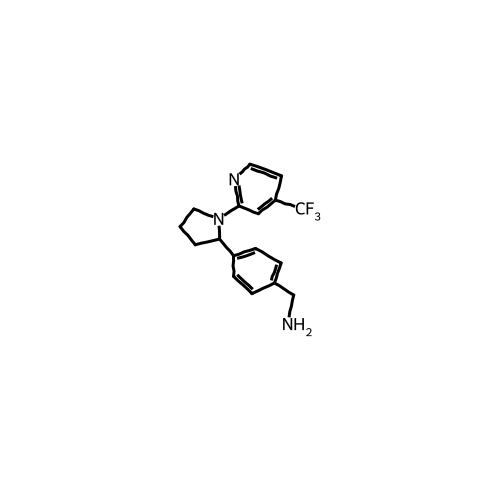 NCc1ccc(C2CCCN2c2cc(C(F)(F)F)ccn2)cc1